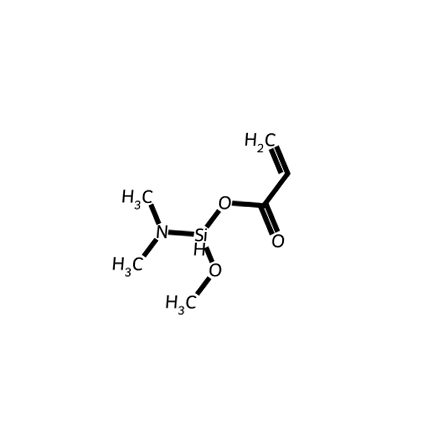 C=CC(=O)O[SiH](OC)N(C)C